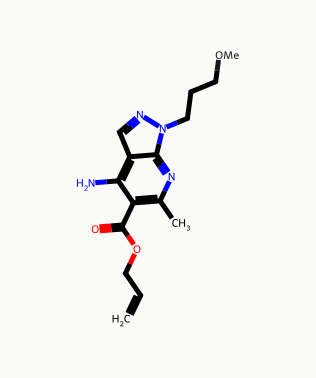 C=CCOC(=O)c1c(C)nc2c(cnn2CCCOC)c1N